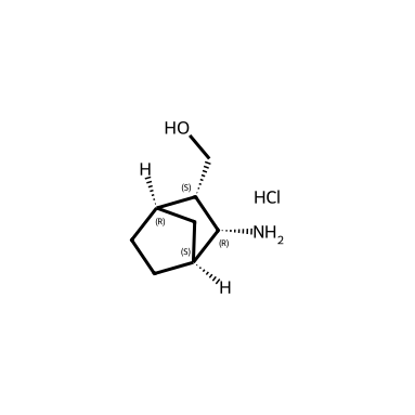 Cl.N[C@@H]1[C@H]2CC[C@H](C2)[C@@H]1CO